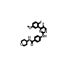 COc1ccc(F)c(-c2nc(Nc3ccc(C(=O)NC4CCOCC4)cc3)ncc2F)c1